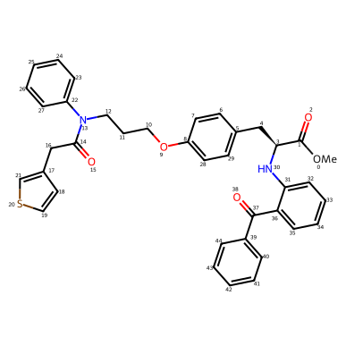 COC(=O)[C@H](Cc1ccc(OCCCN(C(=O)Cc2ccsc2)c2ccccc2)cc1)Nc1ccccc1C(=O)c1ccccc1